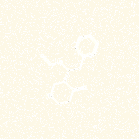 O=COC(Cc1ccccc1)C1CNCCC1=O